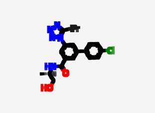 CC(C)c1nnnn1-c1cc(C(=O)N[C@@H](C)CO)cc(-c2ccc(Cl)cc2)c1